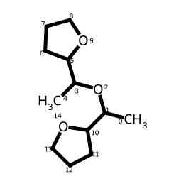 CC(OC(C)C1CCCO1)C1CCCO1